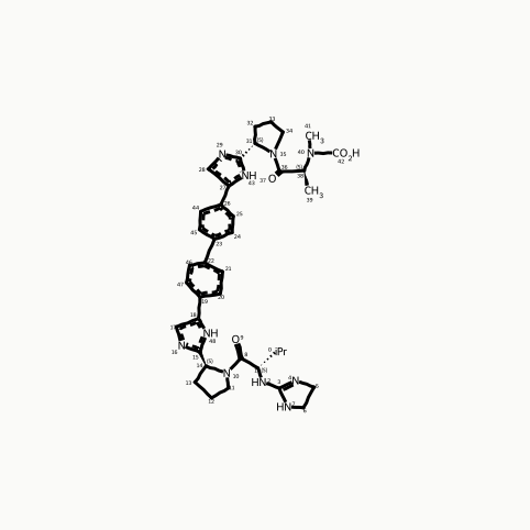 CC(C)[C@H](NC1=NCCN1)C(=O)N1CCC[C@H]1c1ncc(-c2ccc(-c3ccc(-c4cnc([C@@H]5CCCN5C(=O)[C@H](C)N(C)C(=O)O)[nH]4)cc3)cc2)[nH]1